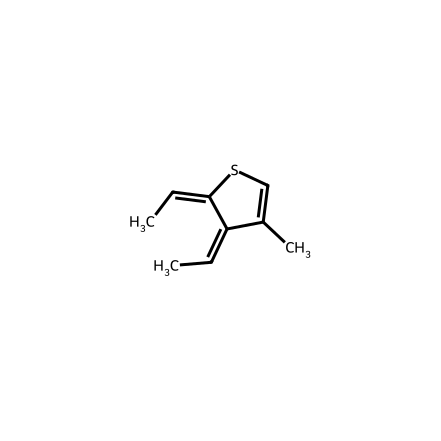 C/C=c1/c(C)cs/c1=C/C